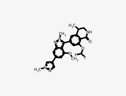 COc1cc(-c2cnn(C)c2)cc2nn(C)c(-c3cc(OC(F)F)c4c(c3)C(C)CNC4=O)c12